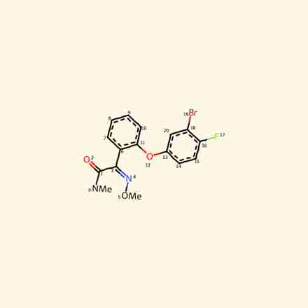 CNC(=O)C(=NOC)c1ccccc1Oc1ccc(F)c(Br)c1